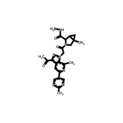 BNC(=O)C1C2CC2(C)CN1C(=O)Cn1nc(C(C)=O)c2cc(-c3cnc(C)nc3)nc(C)c21